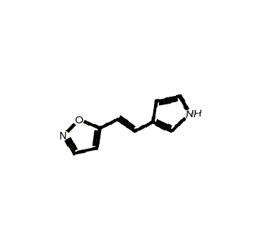 C(=C\c1ccno1)/c1cc[nH]c1